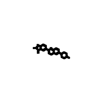 Cc1nc2ccc(C3=CCN4C=C(N5CCN(C)CC5)C=CC4=N3)cc2[nH]1